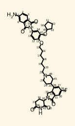 Nc1ccc2c(c1)C(=O)N(c1ccc(OCCCCCCCN3CCC(c4cc(F)cc5c4CN(C4CCC(=O)NC4=O)C5=O)CC3)c(OC3CCCC3)c1)C2=O